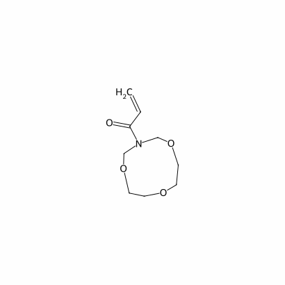 C=CC(=O)N1COCCOCCOC1